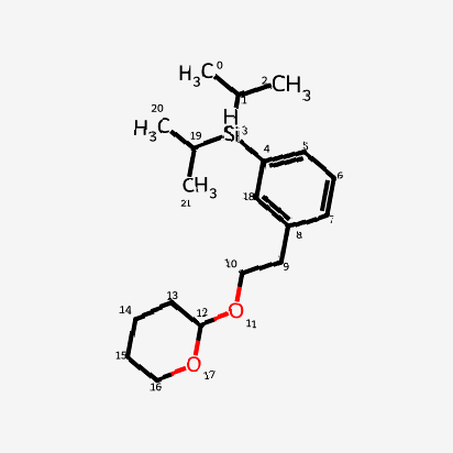 CC(C)[SiH](c1cccc(CCOC2CCCCO2)c1)C(C)C